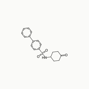 O=C1CCC(NS(=O)(=O)c2ccc(-c3ccccc3)cc2)CC1